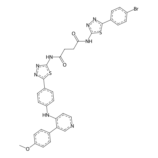 COc1ccc(-c2cnccc2Nc2ccc(-c3nnc(NC(=O)CCC(=O)Nc4nnc(-c5ccc(Br)cc5)s4)s3)cc2)cc1